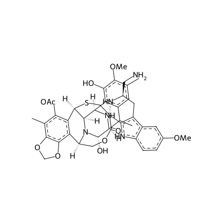 COc1ccc2[nH]c3c(c2c1)C[C@H](CN)N[C@]31CS[C@@H]2c3c(OC(C)=O)c(C)c4c(c3[C@H](COC1=O)N1[C@@H]2[C@@H]2N[C@@H](C(C)c3cc(C)c(OC)c(O)c32)[C@@H]1O)OCO4